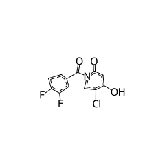 O=C(c1ccc(F)c(F)c1)n1cc(Cl)c(O)cc1=O